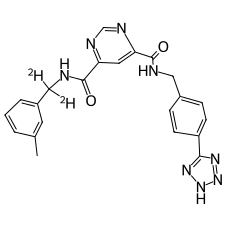 [2H]C([2H])(NC(=O)c1cc(C(=O)NCc2ccc(-c3nn[nH]n3)cc2)ncn1)c1cccc(C)c1